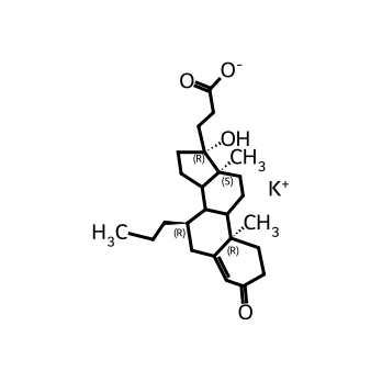 CCC[C@@H]1CC2=CC(=O)CC[C@]2(C)C2CC[C@@]3(C)C(CC[C@@]3(O)CCC(=O)[O-])C21.[K+]